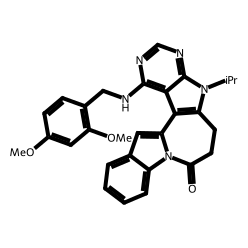 COc1ccc(CNc2ncnc3c2c2c(n3C(C)C)CCC(=O)n3c-2cc2ccccc23)c(OC)c1